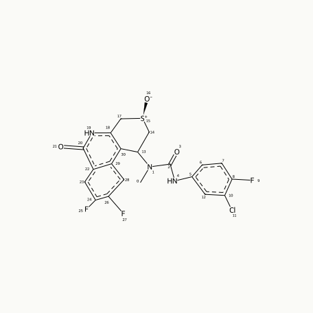 CN(C(=O)Nc1ccc(F)c(Cl)c1)C1C[S@+]([O-])Cc2[nH]c(=O)c3cc(F)c(F)cc3c21